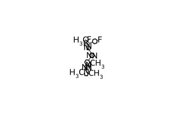 Cc1ccc(C)n1-c1nc2ccc(-c3cncc(-c4cnn(C(c5ccc(F)cc5)C(C)(F)F)c4)n3)c(C)n2n1